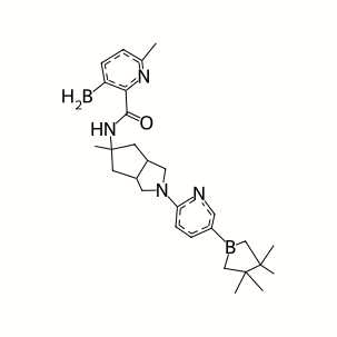 Bc1ccc(C)nc1C(=O)NC1(C)CC2CN(c3ccc(B4CC(C)(C)C(C)(C)C4)cn3)CC2C1